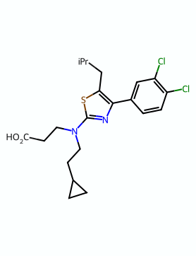 CC(C)Cc1sc(N(CCC(=O)O)CCC2CC2)nc1-c1ccc(Cl)c(Cl)c1